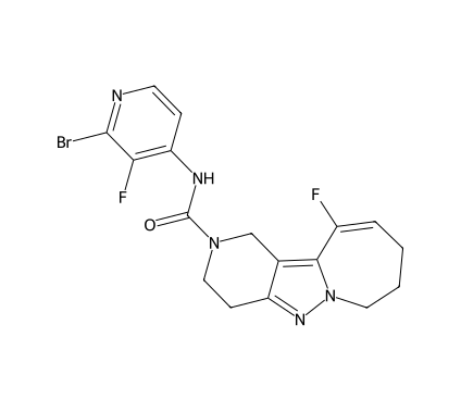 O=C(Nc1ccnc(Br)c1F)N1CCc2nn3c(c2C1)C(F)=CCCC3